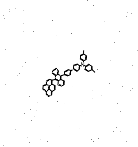 Cc1ccc(N(c2ccc(C)cc2)c2ccc(-c3ccc(-c4c5ccccc5c(-c5ccc6ccc7cccc8ccc5c6c78)c5ccccc45)cc3)cc2)cc1